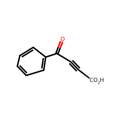 O=C(O)C#CC(=O)c1ccccc1